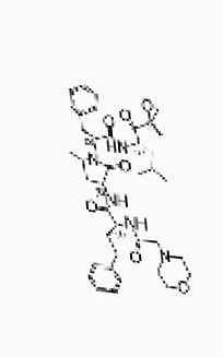 CC(C)C[C@H](NC(=O)[C@H](Cc1ccccc1)N1C(=O)[C@@H](NC(=O)[C@H](CCc2ccccc2)NC(=O)CN2CCOCC2)CC1C)C(=O)[C@@]1(C)CO1